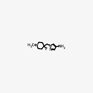 CN1CCC(F)(Cn2cc(N)cn2)CC1